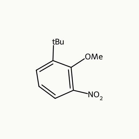 COc1c([N+](=O)[O-])cccc1C(C)(C)C